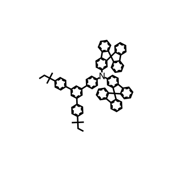 CCC(C)(C)c1ccc(-c2cc(-c3ccc(N(c4ccc5c(c4)C4(c6ccccc6-c6ccccc64)c4ccccc4-5)c4ccc5c(c4)C4(c6ccccc6-c6ccccc64)c4ccccc4-5)cc3)cc(-c3ccc(C(C)(C)CC)cc3)c2)cc1